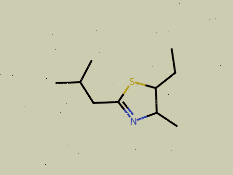 CCC1SC(CC(C)C)=NC1C